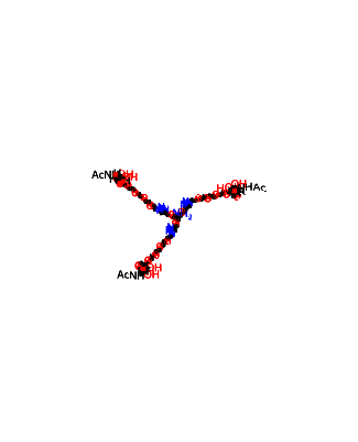 CC(=O)N[C@H]1[C@@H]2OC[C@](COCCOCCOCCOCCn3cc(COCC(N)(COCc4cn(CCOCCOCCOCCOC[C@H]5OC6OCC5(O)[C@H](O)[C@H]6NC(C)=O)nn4)COCc4cn(CCOCCOCCOCCOC[C@@]56COC(O5)[C@H](NC(C)=O)[C@@H](O)[C@H]6O)nn4)nn3)(O2)[C@H](O)[C@@H]1O